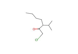 CCCCC(C(=O)CCl)C(C)C